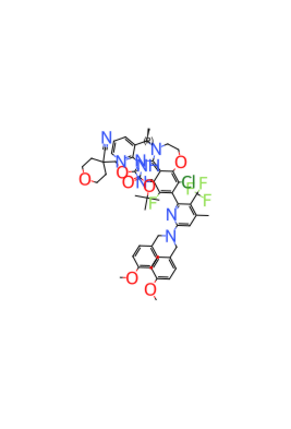 COc1ccc(CN(Cc2ccc(OC)cc2)c2cc(C)c(C(F)(F)F)c(-c3c(Cl)c4c5c(nc(OCC6(C#N)CCOCC6)nc5c3F)N([C@H](C)c3cccnc3NC(=O)OC(C)(C)C)CCO4)n2)cc1